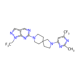 Cc1nc(N2CCC3(CCN(c4ncc5cnn(CC(F)(F)F)c5n4)CC3)C2)cc(C(F)(F)F)n1